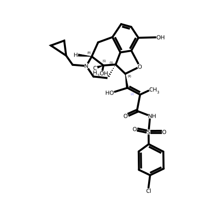 C/C(C(=O)NS(=O)(=O)c1ccc(Cl)cc1)=C(/O)[C@@H]1Oc2c(O)ccc3c2[C@@]12CCN(CC1CC1)[C@H](C3)[C@@]2(C)O